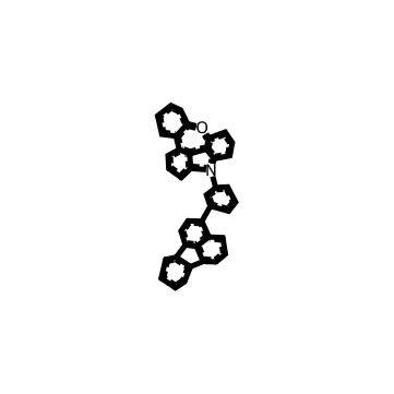 c1cc(-c2ccc3c4c(cccc24)-c2ccccc2-3)cc(-n2c3cccc4oc5ccccc5c5cccc2c5c43)c1